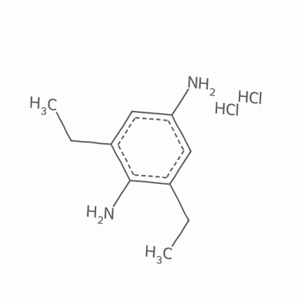 CCc1cc(N)cc(CC)c1N.Cl.Cl